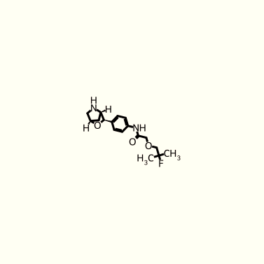 CC(C)(F)COCC(=O)Nc1ccc([C@H]2O[C@@H]3CN[C@H]2C3)cc1